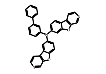 c1ccc(-c2cccc(N(c3ccc4c(c3)oc3cnccc34)c3ccc4oc5cnccc5c4c3)c2)cc1